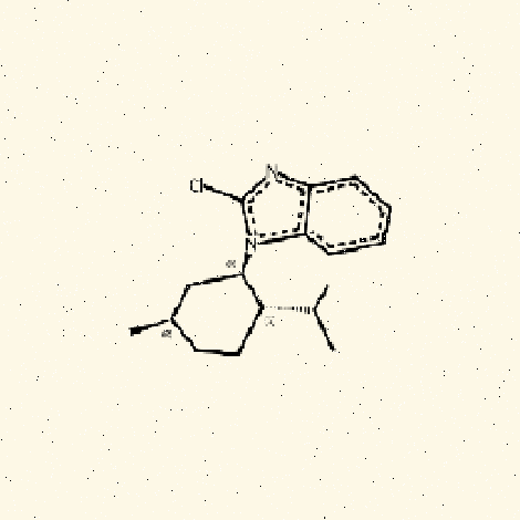 CC(C)[C@@H]1CC[C@@H](C)C[C@H]1n1c(Cl)nc2ccccc21